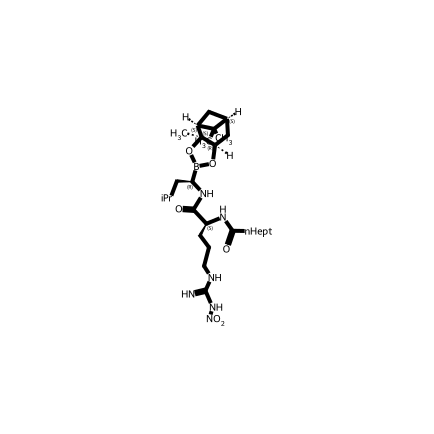 CCCCCCCC(=O)N[C@@H](CCCNC(=N)N[N+](=O)[O-])C(=O)N[C@@H](CC(C)C)B1O[C@@H]2C[C@@H]3C[C@@H](C3(C)C)[C@]2(C)O1